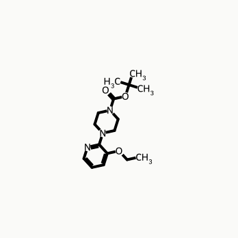 CCOc1cccnc1N1CCN(C(=O)OC(C)(C)C)CC1